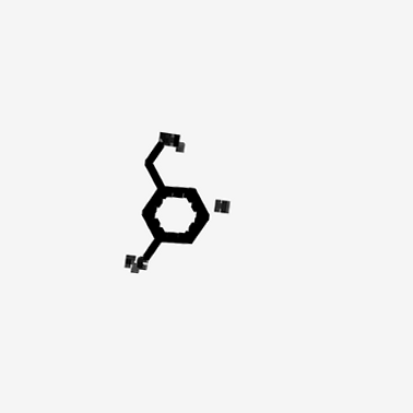 I.NCc1cccc(C(F)(F)F)c1